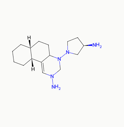 N[C@@H]1CCN(N2CN(N)C=C3C2CC[C@H]2CCCC[C@@H]32)C1